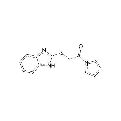 O=C(CSc1nc2ccccc2[nH]1)n1cccc1